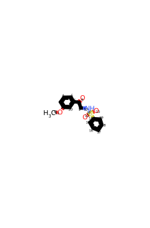 COc1cccc(C(=O)CNS(=O)(=O)c2ccccc2)c1